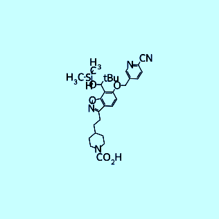 C[SiH](C)OC(c1c(OCc2ccc(C#N)nc2)ccc2c(CCC3CCN(C(=O)O)CC3)noc12)C(C)(C)C